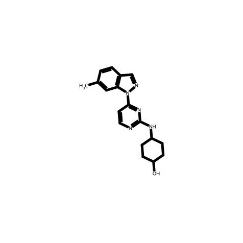 Cc1ccc2cnn(-c3ccnc(NC4CCC(O)CC4)n3)c2c1